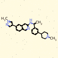 C=C(Nc1cc2cc(-c3cnn(C)c3)ccc2cn1)c1cccc(C2CCN(C)CC2)c1